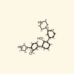 Oc1c(-c2ccnc(N3CCNCC3)c2)cccc1-c1ccc(N2CCNC2)c(Cl)c1